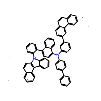 c1ccc(-c2ccc(N(c3cccc(-c4ccc5ccc6ccccc6c5c4)c3)c3ccc(-c4ccccc4-n4c5ccccc5c5c6ccccc6ccc54)c4ccccc34)cc2)cc1